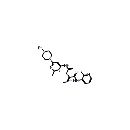 C=C(Nc1cc(N2CCN(CC)CC2)nc(C)n1)S/C(=C\C)C(=O)Nc1cccnc1C